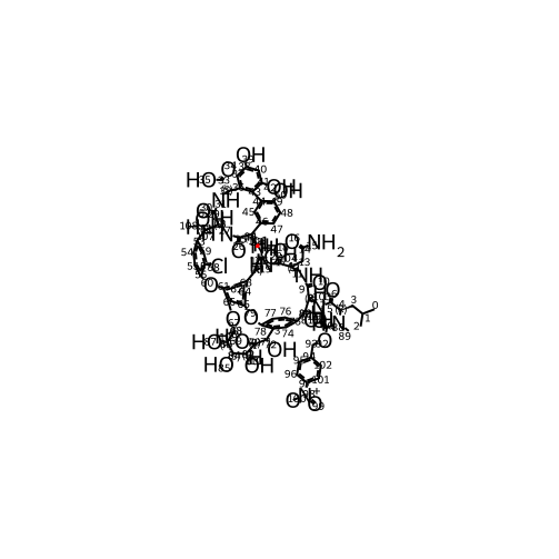 CC(C)C[C@H](C(=O)N[C@H]1C(=O)N[C@@H](CC(N)=O)C(=O)N[C@H]2C(=O)N[C@H]3C(=O)N[C@H](C(=O)N[C@H](C(=O)O)c4cc(O)cc(O)c4-c4cc3ccc4O)[C@H](O)c3ccc(c(Cl)c3)Oc3cc2cc2c3O[C@@H]3O[C@H](C(O)c4cc(ccc4O2)[C@H]1O)[C@@H](O)[C@H](O)[C@H]3O)N(C)C(=O)OCc1ccc([N+](=O)[O-])cc1